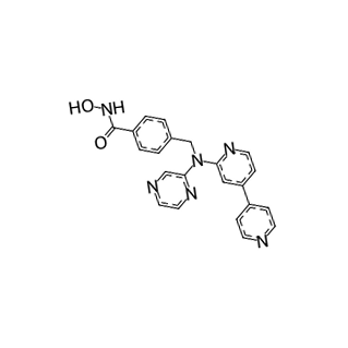 O=C(NO)c1ccc(CN(c2cnccn2)c2cc(-c3ccncc3)ccn2)cc1